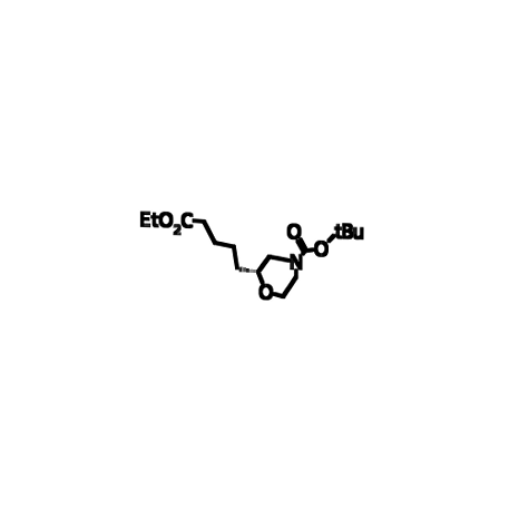 CCOC(=O)CCCC[C@@H]1CN(C(=O)OC(C)(C)C)CCO1